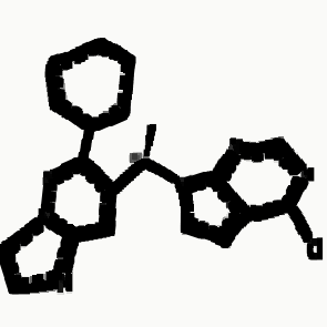 C[C@@H](c1cc2nccn2nc1-c1ccccc1)n1ccc2c(Cl)ncnc21